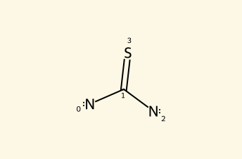 [N]C([N])=S